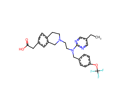 CCc1cnc(N(CCN2CCc3ccc(CC(=O)O)cc3C2)Cc2ccc(OC(F)(F)F)cc2)nc1